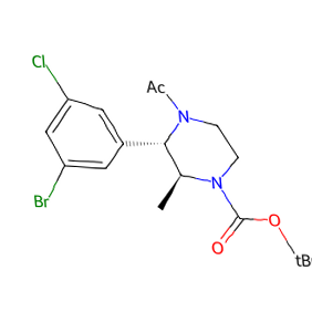 CC(=O)N1CCN(C(=O)OC(C)(C)C)[C@@H](C)[C@@H]1c1cc(Cl)cc(Br)c1